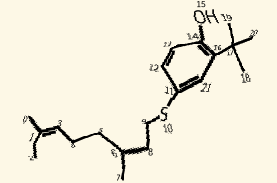 CC(C)=CCCC(C)CCSc1ccc(O)c(C(C)(C)C)c1